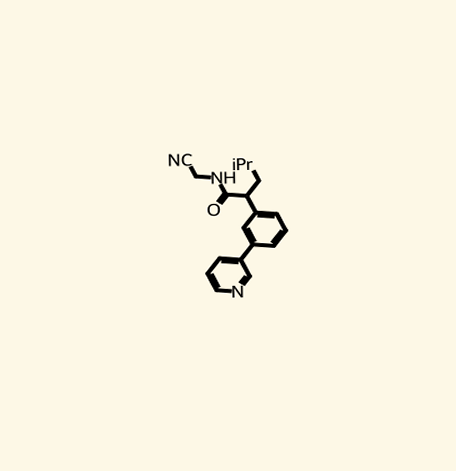 CC(C)CC(C(=O)NCC#N)c1cccc(-c2cccnc2)c1